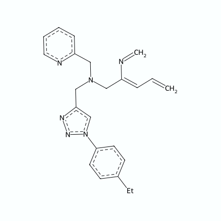 C=C/C=C(/CN(Cc1ccccn1)Cc1cn(-c2ccc(CC)cc2)nn1)N=C